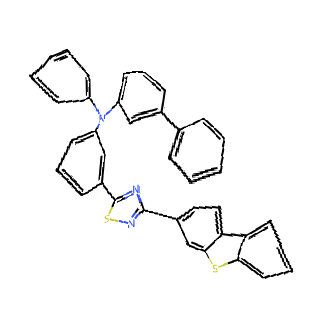 c1ccc(-c2cccc(N(c3ccccc3)c3cccc(-c4nc(-c5ccc6c(c5)sc5ccccc56)ns4)c3)c2)cc1